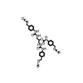 O=C=NCc1ccc(NC(=O)NCC(CNC(=O)Nc2ccc(CN=C=O)cc2)OC(=O)Nc2ccc(CN=C=O)cc2)cc1